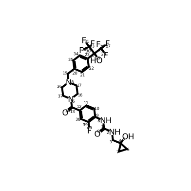 O=C(NCC1(O)CC1)Nc1ccc(C(=O)N2CCN(Cc3ccc(C(O)(C(F)(F)F)C(F)(F)F)cc3)CC2)cc1F